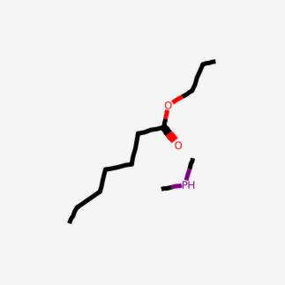 CCCCCCC(=O)OCCC.CPC